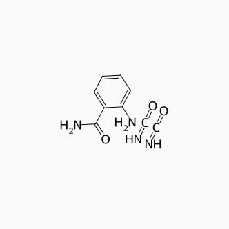 N=C=O.N=C=O.NC(=O)c1ccccc1N